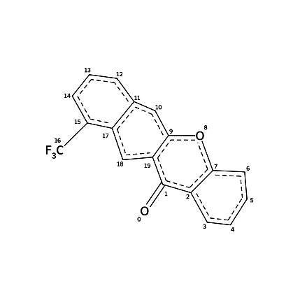 O=c1c2ccccc2oc2cc3cccc(C(F)(F)F)c3cc12